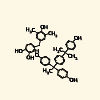 CC(C)(c1ccc(O)cc1)c1ccc(C(C)(c2ccc(O)cc2)c2ccc(O)cc2)cc1.Cc1cc(Cc2ccc(O)c(O)c2)cc(C)c1O